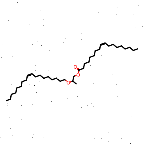 CCCCCCCC/C=C\CCCCCCCCOC(C)COC(=O)CCCCCCC/C=C\CCCCCCCC